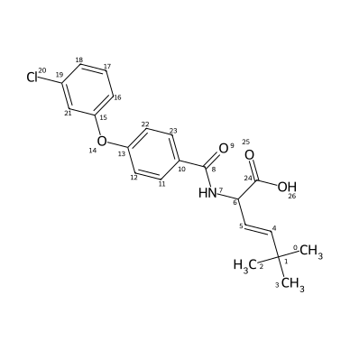 CC(C)(C)C=CC(NC(=O)c1ccc(Oc2cccc(Cl)c2)cc1)C(=O)O